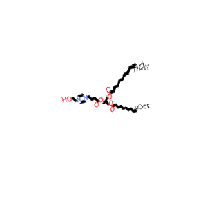 CCCCCCCC/C=C\CCCCCCCC(=O)OCC(COC(=O)CCCCCCC/C=C\CCCCCCCC)COC(=O)CCCN1CCN(CCO)CC1